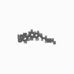 NCCCCC1Cc2ccc(C3=NNC(=O)CC3)cc2C1